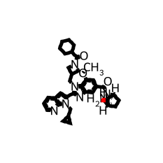 COc1cc(C(=O)N2C[C@H]3CC[C@@H]2[C@@H]3N)cc2nc(-c3cc4cccnc4n3CC3CC3)n(CC3CN(C(=O)C4CCCCC4)C3)c12